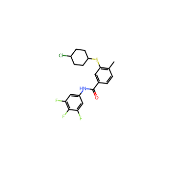 Cc1ccc(C(=O)Nc2cc(F)c(F)c(F)c2)cc1SC1CCC(Cl)CC1